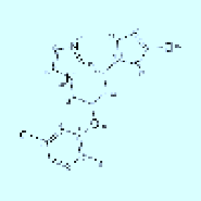 Cc1ccc(Cl)cc1OC(CCc1ccc(Cl)s1)Cn1ccnc1